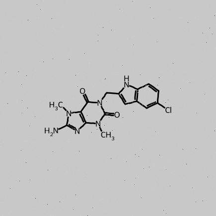 Cn1c(N)nc2c1c(=O)n(Cc1cc3cc(Cl)ccc3[nH]1)c(=O)n2C